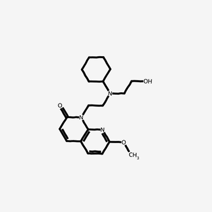 COc1ccc2ccc(=O)n(CCN(CCO)C3CCCCC3)c2n1